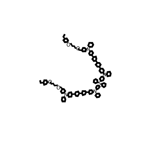 C=Cc1ccc(OCCCCOCc2ccc(N(c3ccccc3)c3ccc(-c4ccc(-c5ccc(-c6ccc(N(c7ccccc7)c7ccc(S(c8ccccc8)(c8ccccc8)c8ccc(N(c9ccccc9)c9ccc(-c%10ccc(-c%11ccc(-c%12ccc(N(c%13ccccc%13)c%13ccc(COCCCCOc%14ccc(C=C)cc%14)cc%13)cc%12)cc%11)cc%10)cc9)cc8)cc7)cc6)cc5)cc4)cc3)cc2)cc1